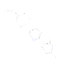 CCCCCCCCc1ccc(-c2ccc([C@H]3CC[C@H](CCCCCCC)CC3)cn2)c(F)c1